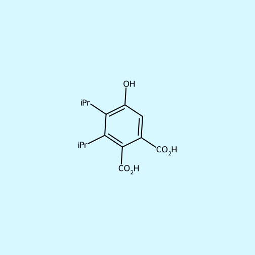 CC(C)c1c(O)cc(C(=O)O)c(C(=O)O)c1C(C)C